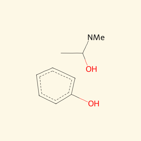 CNC(C)O.Oc1ccccc1